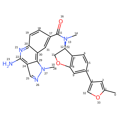 Cc1cc(-c2ccc3c(c2)OC[C@H]3N(C)C(=O)c2ccc3nc(N)c4cnn(C)c4c3c2)co1